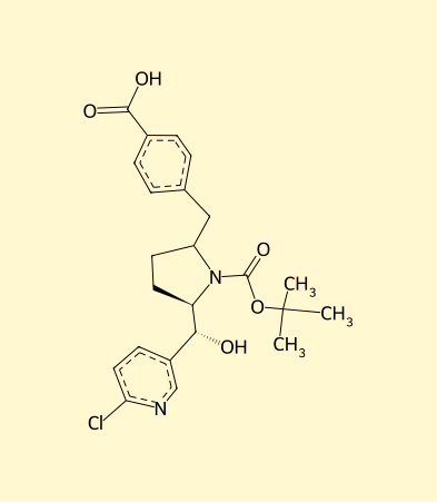 CC(C)(C)OC(=O)N1C(Cc2ccc(C(=O)O)cc2)CC[C@@H]1[C@H](O)c1ccc(Cl)nc1